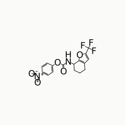 O=C(NC1CCCc2cc(C(F)(F)F)oc21)Oc1ccc([N+](=O)[O-])cc1